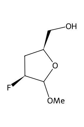 COC1O[C@H](CO)C[C@@H]1F